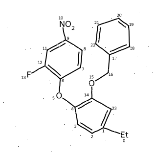 CCc1ccc(Oc2ccc([N+](=O)[O-])cc2F)c(OCc2ccccc2)c1